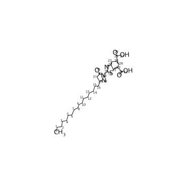 CCCCCCCCCCCCCCCCCC1=NN(c2nc3cc(C(=O)O)cc(C(=O)O)c3s2)C(=O)C1